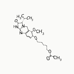 COc1c(OCCCCCOC(C)=O)ccc2c1CN1C(=N2)NC(=O)C1C(C)C